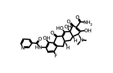 CN(C)[C@@H]1C(O)=C(C(N)=O)C(=O)[C@@]2(O)C(O)=C3C(=O)c4c(O)c(NC(=O)c5cccnc5)cc(F)c4C[C@H]3C[C@@H]12